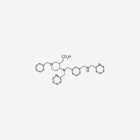 O=C(O)CC1CN(Cc2ccccc2)CCC1N(Cc1cccc(CNCc2ccccn2)c1)Cc1ccccn1